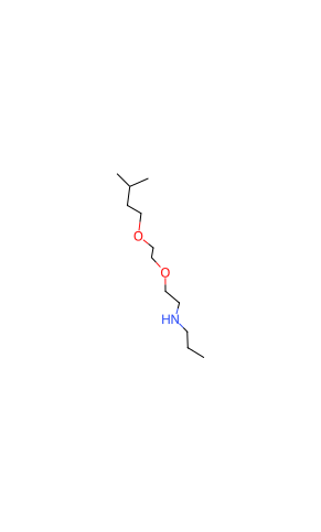 CCCNCCOCCOCCC(C)C